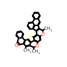 Cc1c2c(c3sc4c5c(cc6c4c3c1C(C)O6)OC(C)C1=C5c3cccc4c3c1cc1ccccc14)-c1ccccc1C1OC21